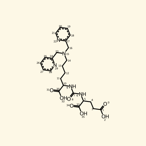 O=C(O)CCC(NC(=O)NC(CCCCN(Cc1ccccn1)Cc1ccccn1)C(=O)O)C(=O)O